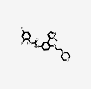 Cn1nccc1-c1cc(NC(=O)Nc2ccc(F)cc2F)ccc1OCCN1CCOCC1